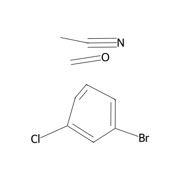 C=O.CC#N.Clc1cccc(Br)c1